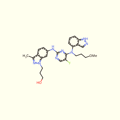 COCCCN(c1nc(Nc2ccc3c(C)nn(CCCO)c3c2)ncc1F)c1cccc2[nH]ncc12